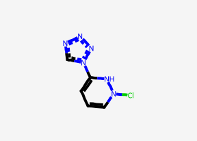 ClN1C=CC=C(n2cnnn2)N1